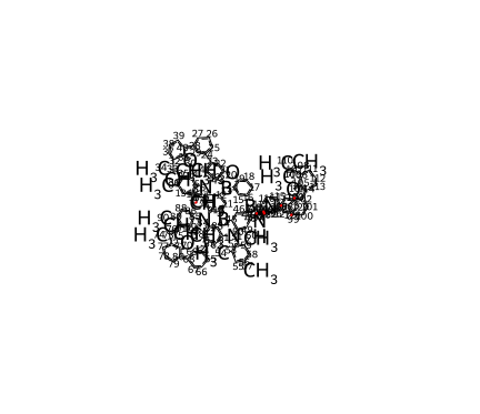 Cc1cc(C)c(N2c3cc4c(cc3B3c5ccccc5Oc5cc(-c6cccc7c6oc6c(C(C)(C)C)cccc67)cc2c53)B2c3cc5c(cc3N(c3c(C)cc(C)cc3C)c3cc(-c6cccc7c6oc6c(C(C)(C)C)cccc67)cc(c32)N4c2c(C)cc(C)cc2C)Nc2cc(-c3cccc4c3oc3c(C(C)(C)C)cccc34)cc3c2B5c2ccccc2N3c2ccccc2)c(C)c1